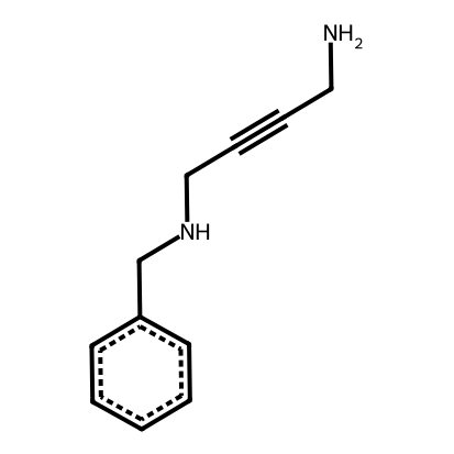 NCC#CCNCc1ccccc1